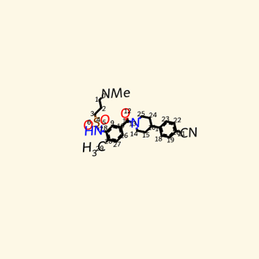 CNCCCS(=O)(=O)Nc1cc(C(=O)N2CCC(c3ccc(C#N)cc3)CC2)ccc1C